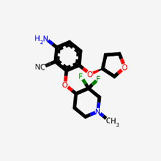 CN1CCC(Oc2c(O[C@H]3CCOC3)ccc(N)c2C#N)C(F)(F)C1